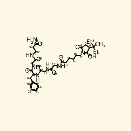 CCC(C)(CC)C1CC(=O)N(CCCCCC(=O)NCC(=O)NCC(=O)N[C@@H](Cc2ccccc2)C(=O)NCC(=O)NCCC(N)=O)C1O